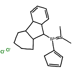 C[Si](C)=[Ti+2]([C]1=CC=CC1)[CH]1C2C=CC=CC2C2CCCCC21.[Cl-].[Cl-]